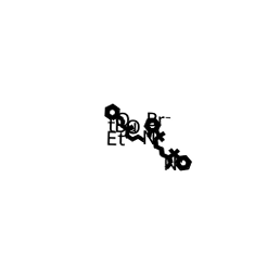 CCC(CCCN1C(=CC=CC2=[N+](C)c3ccccc3C2(C)C)C(C)(C)c2ccccc21)C(=O)COc1ccccc1C(C)(C)C.[Br-]